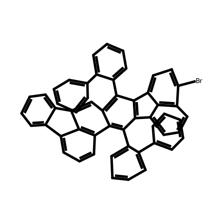 Brc1ccc2c3c(-c4ccccc4-c4ccccc4)c4cc5c6ccccc6c6cccc(c4c(-c4ccccc4-c4ccccc4)c3c3cccc1c23)c65